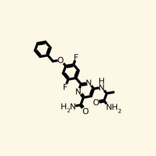 CC(Nc1cc(C(N)=O)nc(-c2cc(F)c(OCc3ccccc3)cc2F)n1)C(N)=O